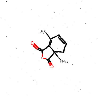 CCCCCCC12CC=CC(C)=C1C(=O)OC2=O